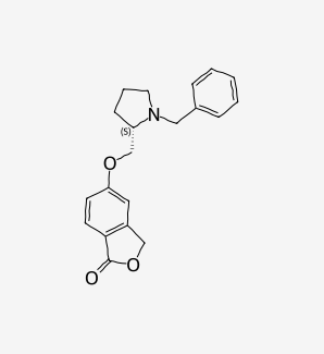 O=C1OCc2cc(OC[C@@H]3CCCN3Cc3ccccc3)ccc21